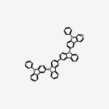 c1ccc(-n2c3ccccc3c3cc(-n4c5ccccc5c5cc(-c6ccc7c(c6)c6ccccc6n7-c6ccc7c(c6)c6ccncc6n7-c6ccccc6)ccc54)ccc32)cc1